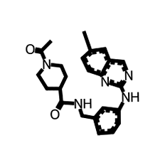 CC(=O)N1CCC(C(=O)NCc2cccc(Nc3ncc4cc(C)ccc4n3)c2)CC1